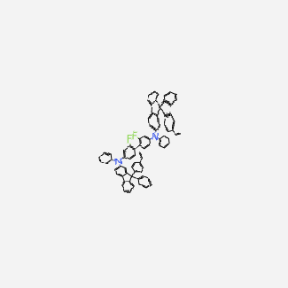 C=Cc1ccc(C2(c3ccccc3)c3ccccc3-c3ccc(N(c4ccccc4)c4ccc(-c5ccc(N(c6ccccc6)c6ccc7c(c6)C(c6ccccc6)(c6ccc(C=C)cc6)c6ccccc6-7)cc5F)c(F)c4)cc32)cc1